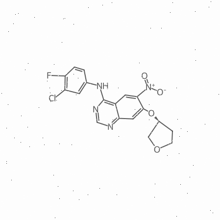 O=[N+]([O-])c1cc2c(Nc3ccc(F)c(Cl)c3)ncnc2cc1O[C@H]1CCOC1